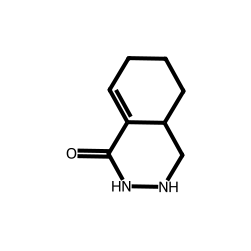 O=C1NNCC2CCCC=C12